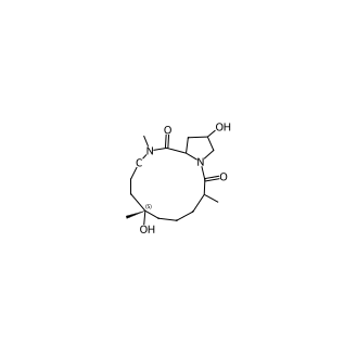 CC1CCC[C@](C)(O)CCCN(C)C(=O)C2CC(O)CN2C1=O